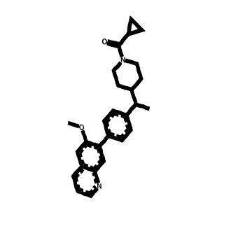 COc1cc2cccnc2cc1-c1ccc(C(C)C2CCN(C(=O)C3CC3)CC2)cc1